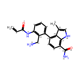 C=CC(=O)Nc1cccc(-c2ccc(C(N)=O)c3[nH]cc(C)c23)c1CN